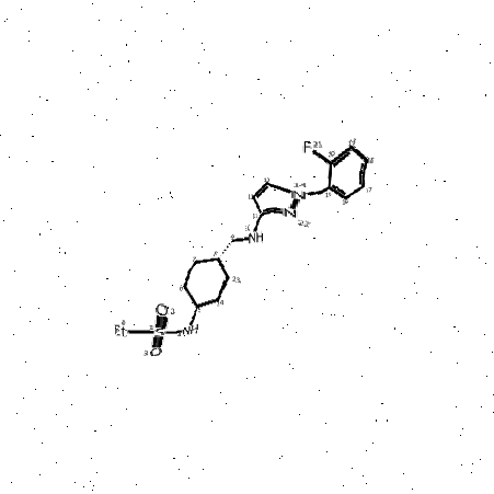 CCS(=O)(=O)N[C@H]1CC[C@H](CNc2ccn(-c3ccccc3F)n2)CC1